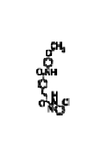 CCOc1ccc(NC(=O)c2ccc(C=CC(=O)c3nc4cccc(Cl)c4[nH]3)cc2)cc1